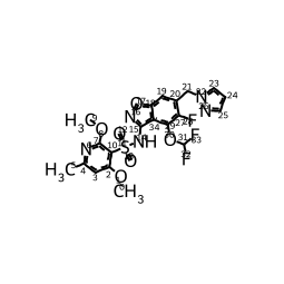 COc1cc(C)nc(OC)c1S(=O)(=O)Nc1noc2cc(Cn3cccn3)c(F)c(OC(F)F)c12